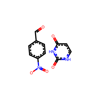 O=Cc1ccc([N+](=O)[O-])cc1.O=c1cc[nH]c(=O)[nH]1